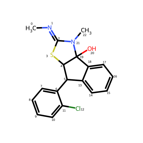 C/N=C1\SC2C(c3ccccc3Cl)c3ccccc3C2(O)N1C